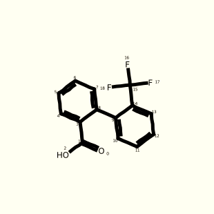 O=C(O)c1ccccc1-c1ccccc1C(F)(F)F